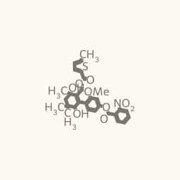 COc1cc(OC(=O)c2ccccc2[N+](=O)[O-])ccc1C1=C(COC(=O)c2ccc(C)s2)C(C)(O)CC(C)(C)C1O